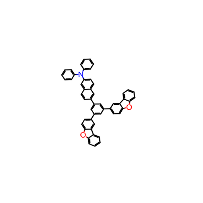 c1ccc(N(c2ccccc2)c2ccc3cc(-c4cc(-c5ccc6oc7ccccc7c6c5)cc(-c5ccc6oc7ccccc7c6c5)c4)ccc3c2)cc1